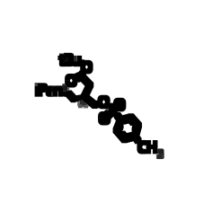 CCCC(C)C[C@H](COS(=O)(=O)c1ccc(C)cc1)CC(=O)OC(C)(C)C